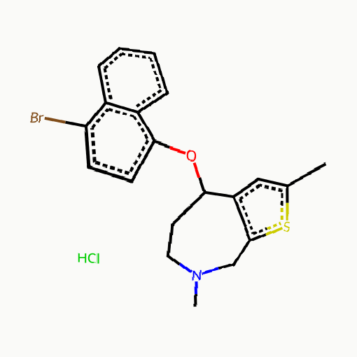 Cc1cc2c(s1)CN(C)CCC2Oc1ccc(Br)c2ccccc12.Cl